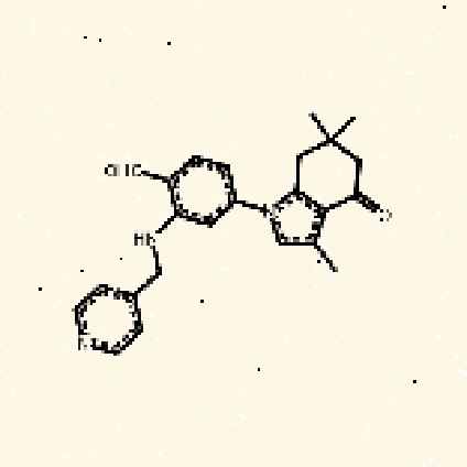 Cc1cn(-c2ccc(C=O)c(NCc3ccncc3)c2)c2c1C(=O)CC(C)(C)C2